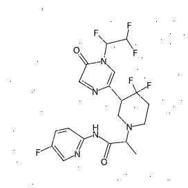 CC(C(=O)Nc1ccc(F)cn1)N1CCC(F)(F)C(c2cn(C(F)C(F)F)c(=O)cn2)C1